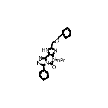 CCCn1c(=O)n2c(-c3ccccc3)nnc2c2[nH]c(COCc3ccccc3)nc21